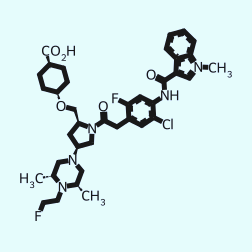 C[C@@H]1CN([C@H]2C[C@@H](CO[C@H]3CC[C@H](C(=O)O)CC3)N(C(=O)Cc3cc(Cl)c(NC(=O)c4cn(C)c5ccccc45)cc3F)C2)C[C@H](C)N1CCF